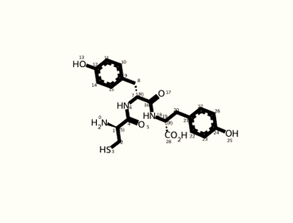 N[C@H](CS)C(=O)N[C@H](Cc1ccc(O)cc1)C(=O)N[C@H](Cc1ccc(O)cc1)C(=O)O